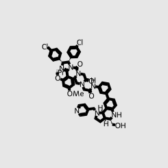 COc1ccc(C2=N[C@H](c3ccc(Cl)cc3)[C@H](c3ccc(Cl)cc3)N2C(=O)N2CCN(CC(=O)Nc3cccc(-c4ccc5c(c4)[C@H]4[C@H](CCN4Cc4ccncc4)[C@@H](CO)N5)c3)C(=O)C2)c(OC(C)C)c1